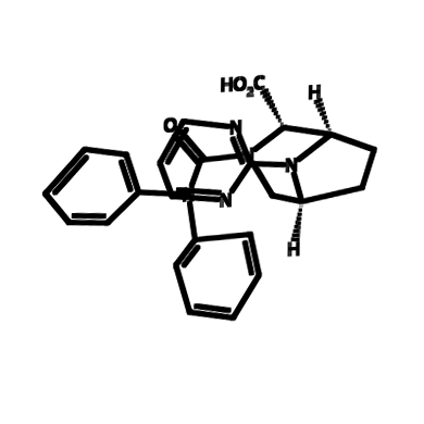 O=C(O)[C@@H]1[C@H]2CC[C@@H](CN1C(=O)N(c1ccccc1)c1ccccc1)N2c1ncccn1